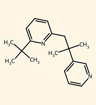 CC(C)(C)c1cccc(CC(C)(C)c2cccnc2)n1